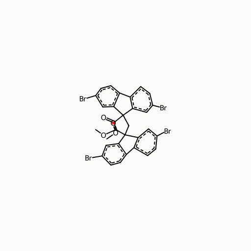 COC(=O)C1(CC2(C(=O)OC)c3cc(Br)ccc3-c3ccc(Br)cc32)c2cc(Br)ccc2-c2ccc(Br)cc21